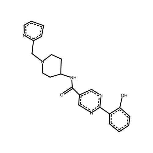 O=C(NC1CCN(Cc2ccccn2)CC1)c1cnc(-c2ccccc2O)nc1